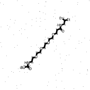 CCC(CC)CNC(=O)CCOCCOCCOCCOCCNC(=O)C(C)CC